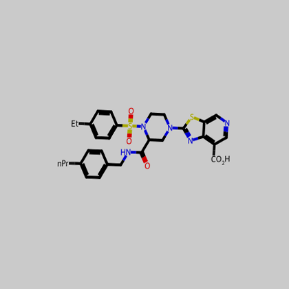 CCCc1ccc(CNC(=O)C2CN(c3nc4c(C(=O)O)cncc4s3)CCN2S(=O)(=O)c2ccc(CC)cc2)cc1